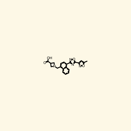 Cc1cc(-c2nc(-c3ccc(CN4CC(C(=O)O)C4)c4ccccc34)no2)no1